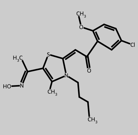 CCCCN1C(=CC(=O)c2cc(Cl)ccc2OC)SC(C(C)=NO)=C1C